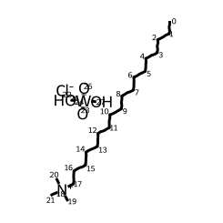 CCCCCCCCCCCCCCCCCC[N+](C)(C)C.[Cl-].[O]=[W](=[O])([OH])[OH]